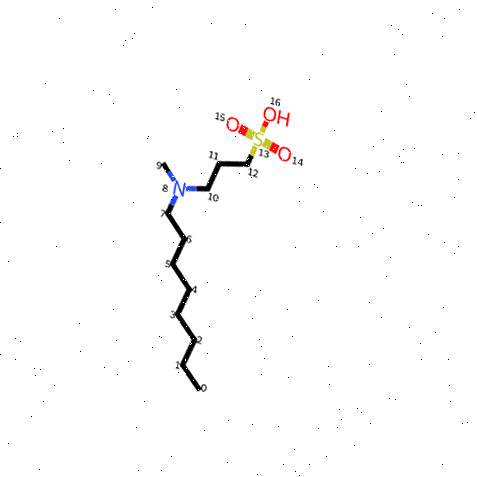 CCCCCCCCN(C)CCCS(=O)(=O)O